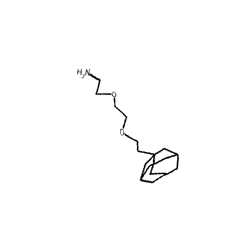 NCCOCCOCCC12CC3CC(CC(C3)C1)C2